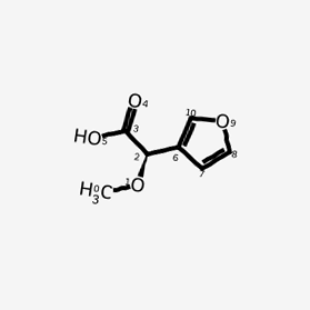 CO[C@@H](C(=O)O)c1ccoc1